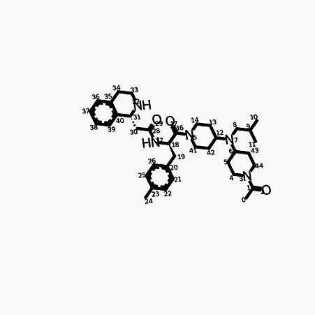 CC(=O)N1CCC(N(CC(C)C)C2CCN(C(=O)[C@@H](Cc3ccc(C)cc3)NC(=O)C[C@H]3NCCc4ccccc43)CC2)CC1